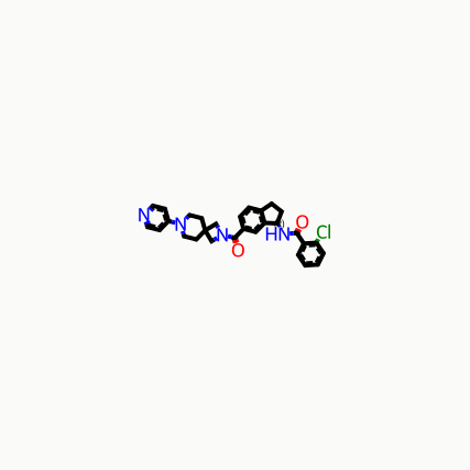 O=C(N[C@@H]1CCc2ccc(C(=O)N3CC4(CCN(c5ccncc5)CC4)C3)cc21)c1ccccc1Cl